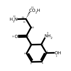 NC1C(O)=CC=CC1C(=O)C[C@H](N)C(=O)O